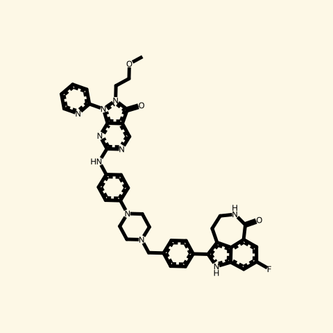 COCCn1c(=O)c2cnc(Nc3ccc(N4CCN(Cc5ccc(-c6[nH]c7cc(F)cc8c7c6CCNC8=O)cc5)CC4)cc3)nc2n1-c1ccccn1